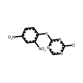 O=[N+]([O-])c1ccc(Sc2n[c]nc(Cl)n2)c([N+](=O)[O-])c1